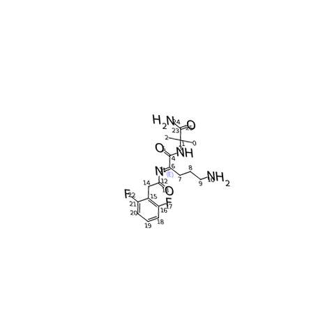 CC(C)(NC(=O)/C(CCCN)=N/C(=O)Cc1c(F)cccc1F)C(N)=O